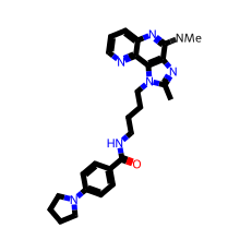 CNc1nc2cccnc2c2c1nc(C)n2CCCCNC(=O)c1ccc(N2CCCC2)cc1